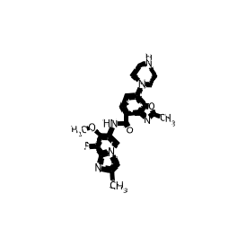 COc1c(NC(=O)c2ccc(N3CCNCC3)c3oc(C)nc23)cn2cc(C)nc2c1F